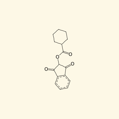 O=C(OC1C(=O)c2ccccc2C1=O)C1CCCCC1